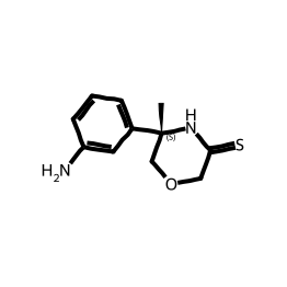 C[C@]1(c2cccc(N)c2)COCC(=S)N1